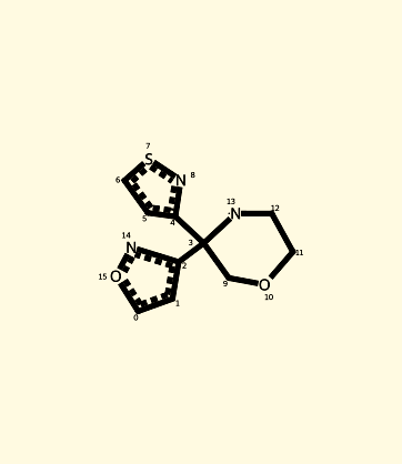 c1cc(C2(c3ccsn3)COCC[N]2)no1